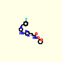 O=C(/C=C/c1cnc(N[C@@H]2CCN(Cc3cccc(F)c3)C2)cn1)NOC1CCCCO1